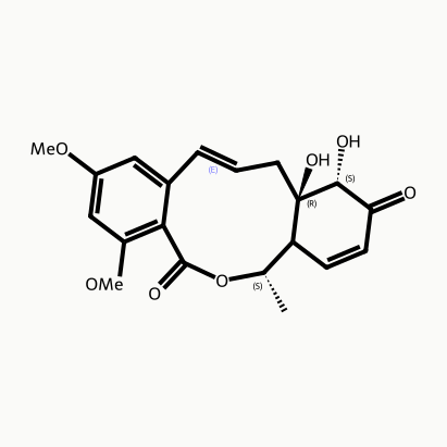 COc1cc2c(c(OC)c1)C(=O)O[C@@H](C)C1C=CC(=O)[C@@H](O)[C@@]1(O)C/C=C/2